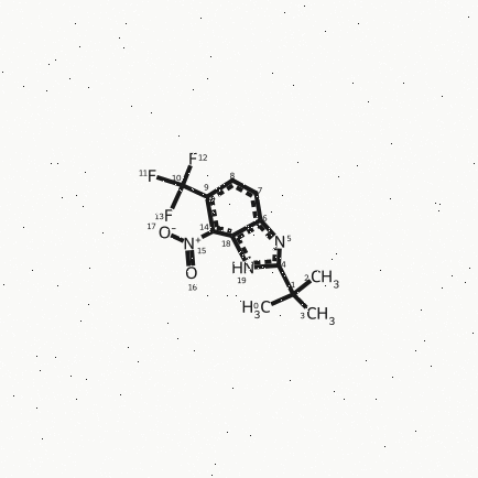 CC(C)(C)c1nc2ccc(C(F)(F)F)c([N+](=O)[O-])c2[nH]1